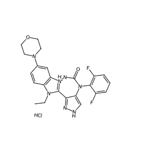 CCn1c(-c2n[nH]cc2N(C(N)=O)c2c(F)cccc2F)nc2cc(N3CCOCC3)ccc21.Cl